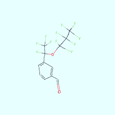 O=Cc1cccc(C(F)(OC(F)(F)C(F)(F)C(F)(F)F)C(F)(F)F)c1